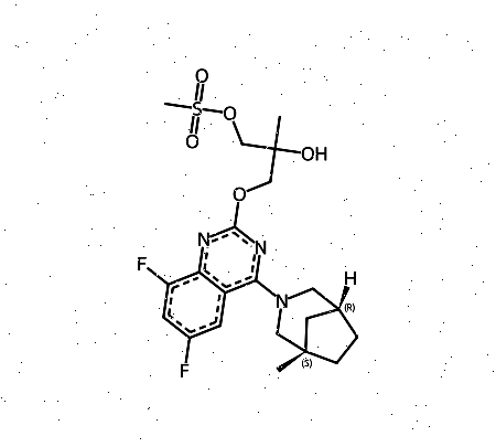 CC(O)(COc1nc(N2C[C@@H]3CC[C@@](C)(C3)C2)c2cc(F)cc(F)c2n1)COS(C)(=O)=O